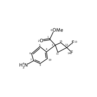 COC(=O)C1(c2ccc(N)cc2)CC(F)(F)C1